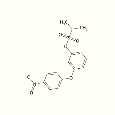 CC(C)S(=O)(=O)Oc1cccc(Oc2ccc([N+](=O)[O-])cc2)c1